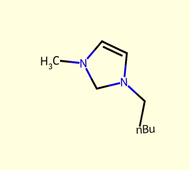 CCCCCN1C=CN(C)C1